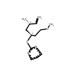 C=C[C@@H](C)C[C@@H](CCOC)Sc1ncccn1